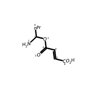 CCCC(N)OC(=O)C=CC(=O)O